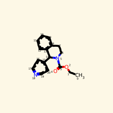 CCOC(=O)N1CCc2ccccc2C1c1ccncc1